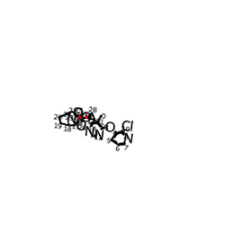 Cc1c(Oc2cccnc2Cl)ncnc1OC1CC2CCC(C1)N2S(=O)(=O)C1CC1